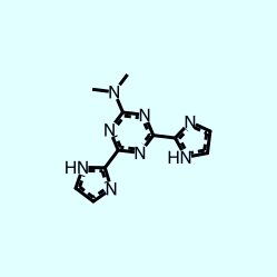 CN(C)c1nc(-c2ncc[nH]2)nc(-c2ncc[nH]2)n1